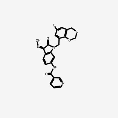 O=C(Nc1ccc2c(c1)N(Cc1cc(F)cc3c1OCOC3)C(=O)/C2=N\O)c1cccnc1